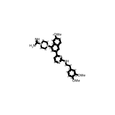 COc1ccc2cc(-c3ccnc(NCCc4ccc(OC)c(OC)c4)n3)cc(N3CCN(C(=N)N)CC3)c2c1